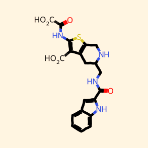 O=C(O)C(=O)Nc1sc2c(c1C(=O)O)CC(CNC(=O)c1cc3ccccc3[nH]1)NC2